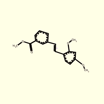 COC(=O)c1cccc(/C=C/c2ccc(OC)cc2OC)c1